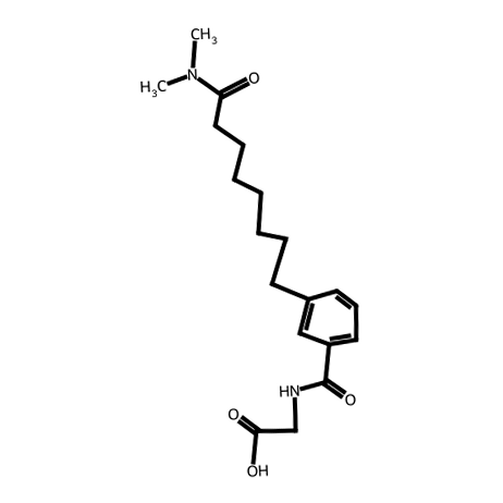 CN(C)C(=O)CCCCCCCc1cccc(C(=O)NCC(=O)O)c1